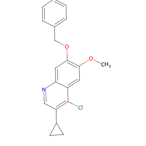 COc1cc2c(Cl)c(C3CC3)cnc2cc1OCc1ccccc1